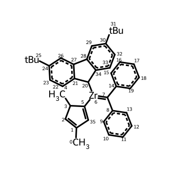 CC1=CC(C)[C]([Zr](=[C](c2ccccc2)c2ccccc2)[CH]2c3ccc(C(C)(C)C)cc3-c3cc(C(C)(C)C)ccc32)=C1